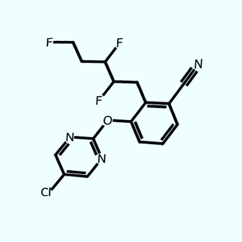 N#Cc1cccc(Oc2ncc(Cl)cn2)c1CC(F)C(F)CCF